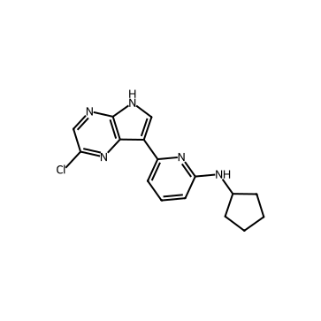 Clc1cnc2[nH]cc(-c3cccc(NC4CCCC4)n3)c2n1